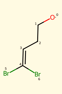 [O]CCC=C(Br)Br